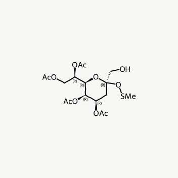 CSO[C@@]1(CO)C[C@@H](OC(C)=O)[C@@H](OC(C)=O)[C@@H]([C@@H](COC(C)=O)OC(C)=O)O1